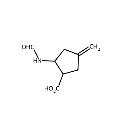 C=C1CC(NC=O)C(C(=O)O)C1